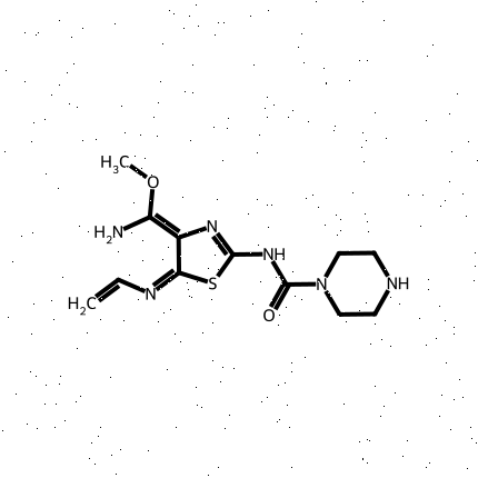 C=C/N=C1/SC(NC(=O)N2CCNCC2)=N/C1=C(/N)OC